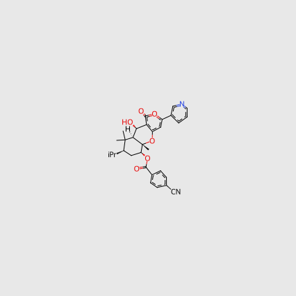 [CH2]C([CH2])[C@@H]1C[C@H](OC(=O)c2ccc(C#N)cc2)[C@@]2(C)Oc3cc(-c4cccnc4)oc(=O)c3[C@H](O)[C@@H]2C1(C)C